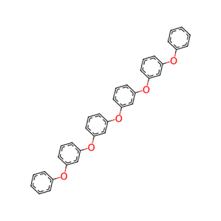 c1ccc(Oc2cccc(Oc3cccc(Oc4cccc(Oc5cccc(Oc6ccccc6)c5)c4)c3)c2)cc1